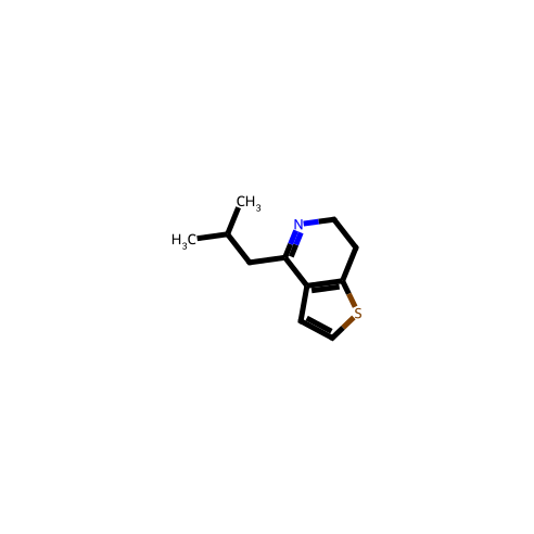 CC(C)CC1=NCCc2sccc21